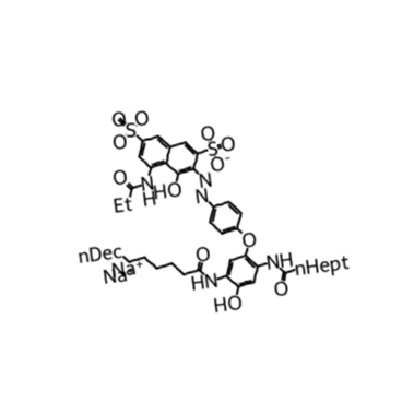 CCCCCCCCCCCCCCCC(=O)Nc1cc(Oc2ccc(N=Nc3c(S(=O)(=O)[O-])cc4cc(S(=O)(=O)[O-])cc(NC(=O)CC)c4c3O)cc2)c(NC(=O)CCCCCCC)cc1O.[Na+].[Na+]